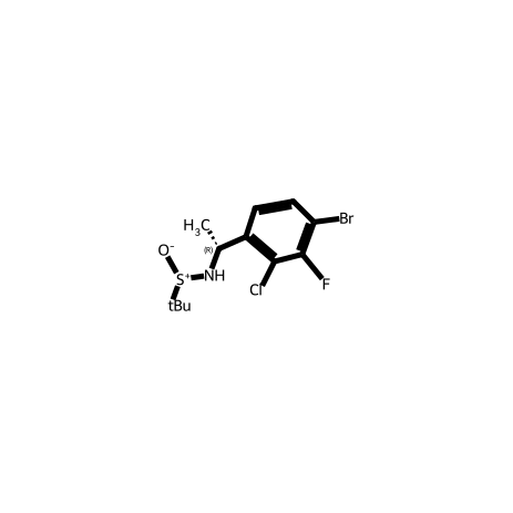 C[C@@H](N[S+]([O-])C(C)(C)C)c1ccc(Br)c(F)c1Cl